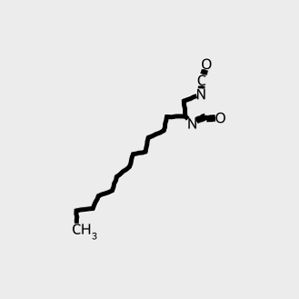 CCCCCCCCCCCCC(CN=C=O)N=C=O